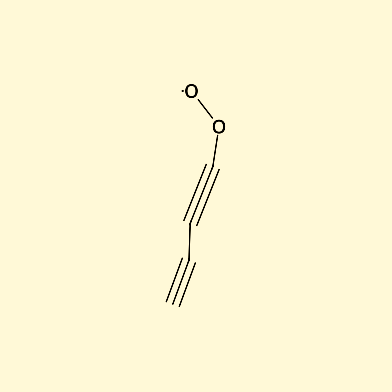 C#CC#CO[O]